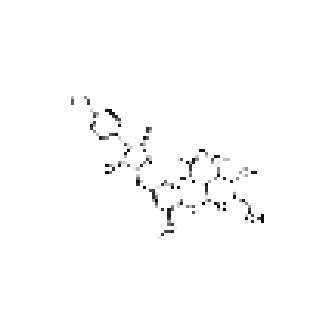 COc1cc(/C=C2\SC(=S)N(c3ccc(O)cc3)C2=O)ccc1O[C@@H]1O[C@H](CO)[C@@H](O)[C@H](O)[C@H]1NC(C)=O